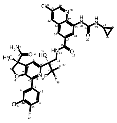 C[C@]1(C(N)=O)COc2c1cc([C@@](O)(CNC(=O)c1cc(NC(=O)NC3CC3)c3ncc(Cl)cc3c1)C(F)(F)F)nc2-c1ccc(F)c(Cl)c1